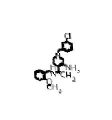 C=C(NCc1ccccc1OC)C1=C(N)CN(Cc2cccc(Cl)c2)CC1